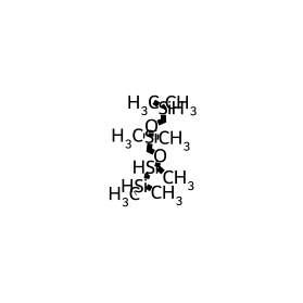 C[SiH](C)CO[Si](C)(C)CO[SiH](C)C[SiH](C)C